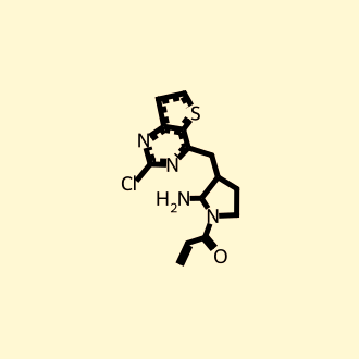 C=CC(=O)N1CCC(Cc2nc(Cl)nc3ccsc23)C1N